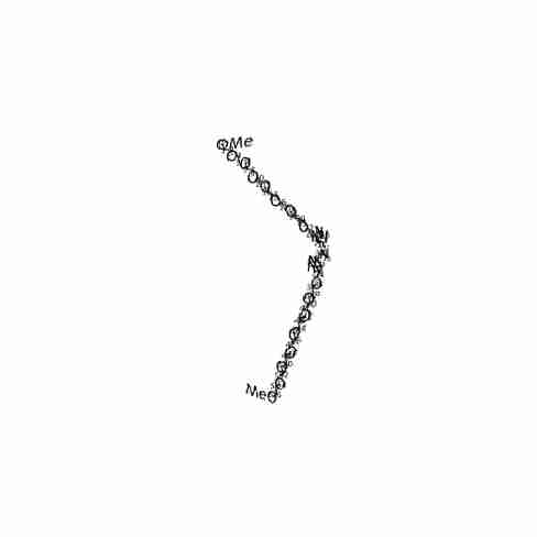 COCCOCCOCCOCCOCCOCCOCCOCCn1cc(CN(C)Cc2cn(CCOCCOCCOCCOCCOCCOCCOCCOC)nn2)nn1